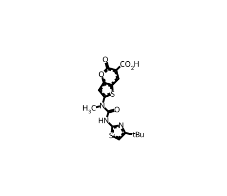 CN(C(=O)Nc1nc(C(C)(C)C)cs1)c1cc2oc(=O)c(C(=O)O)cc2s1